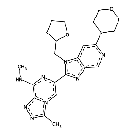 CNc1nc(-c2nc3cnc(N4CCOCC4)cc3n2CC2CCCO2)cn2c(C)nnc12